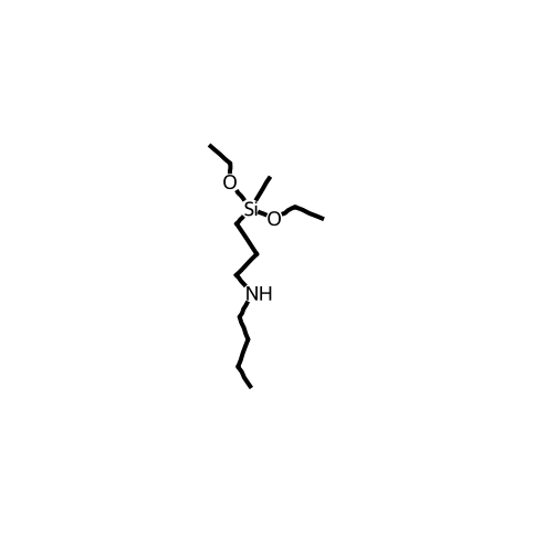 CCCCNCCC[Si](C)(OCC)OCC